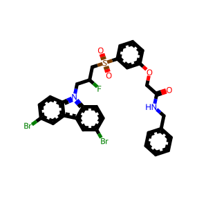 O=C(COc1cccc(S(=O)(=O)CC(F)Cn2c3ccc(Br)cc3c3cc(Br)ccc32)c1)NCc1ccccc1